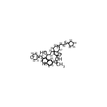 COc1ccc2ncc(CN3CCOCC3)c([C@H](O)CCC3(CC(=O)O)CCN(CCSC4CCCC4)CC3)c2c1